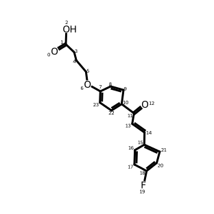 O=C(O)CCCOc1ccc(C(=O)/C=C/c2ccc(F)cc2)cc1